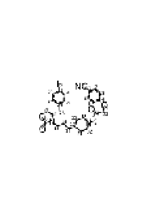 N#Cc1ccc2c(c1)O[C@@H](CN1CCC(CCCN3C(=O)OC[C@@H]3Cc3ccc(F)cc3)CC1)CO2